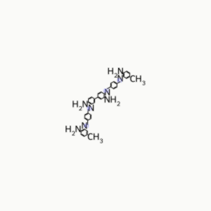 Cc1ccc(N)c(/N=C/c2ccc(/C=N/c3cc(C4=CC(N)C(/N=C/c5ccc(/C=N/c6cc(C)ccc6N)cc5)C=C4)ccc3N)cc2)c1